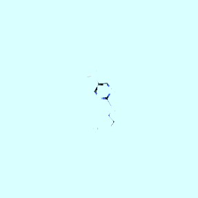 COCCNc1ncc(B(O)O)cn1